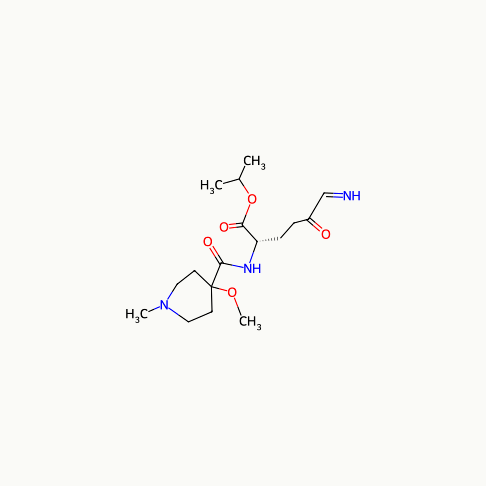 COC1(C(=O)N[C@@H](CCC(=O)C=N)C(=O)OC(C)C)CCN(C)CC1